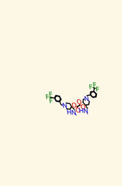 CNCC1(OC(=O)C(=O)OC2(CNC)CCN(Cc3cccc(C(F)(F)F)c3)CC2)CCN(Cc2cccc(C(F)(F)F)c2)CC1